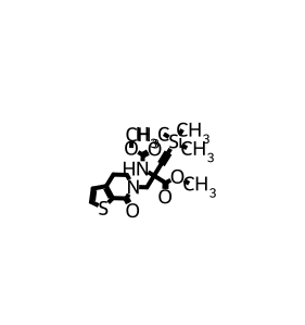 COC(=O)NC(C#C[Si](C)(C)C)(CN1CCc2ccsc2C1=O)C(=O)OC